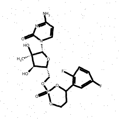 C[C@@]1(O)[C@H](O)[C@@H](COP2(=O)OCCC(c3cc(F)ccc3F)O2)O[C@H]1n1ccc(N)nc1=O